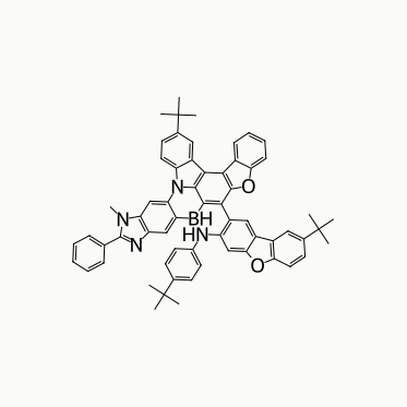 Cn1c(-c2ccccc2)nc2cc3c(cc21)-n1c2ccc(C(C)(C)C)cc2c2c4c(oc5ccccc54)c(-c4cc5c(cc4Nc4ccc(C(C)(C)C)cc4)oc4ccc(C(C)(C)C)cc45)c(c21)B3